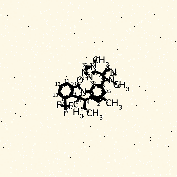 CCCCC(CC)C1(C)c2c(cccc2C(F)(F)F)C(=O)N1c1cccc(-c2c(-c3nncn3C)cnn2C)c1